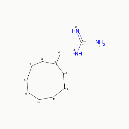 N=C(N)NCC1CCCCCCCC1